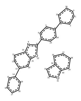 c1ccc(-c2ccc(-c3nc4ccc(-c5ccccc5)cc4o3)cc2)cc1.c1ccc2occc2c1